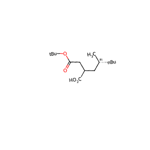 CCCC[C@@H](C)CC(CC(=O)OC(C)(C)C)C(=O)O